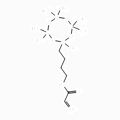 C=CC(=O)OCCCC[Si]1(C)O[Si](C)(C)O[Si](C)(C)O[Si](C)(C)O1